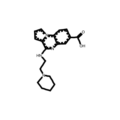 O=C(O)c1ccc2c(c1)nc(NCCN1CCCCC1)c1cccn12